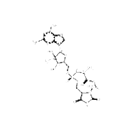 COc1nc(N)nc2c1ncn2[C@@H]1OC(COP(=O)(N[C@H](C)C(=O)OC(C)C)SCC2C(=O)NC(=O)N2C)[C@@H](O)[C@@]1(C)O